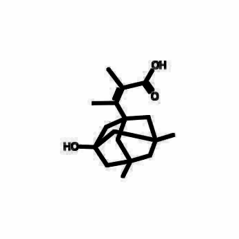 CC(C(=O)O)=C(C)C12CC3(C)CC(C)(CC(O)(C3)C1)C2